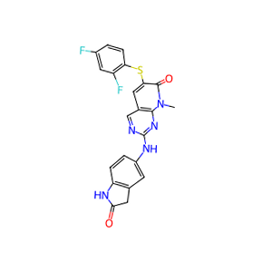 Cn1c(=O)c(Sc2ccc(F)cc2F)cc2cnc(Nc3ccc4c(c3)CC(=O)N4)nc21